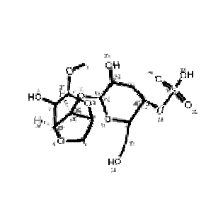 CO[C@H]1OC2CO[C@@H](C1O)[C@H]2O[C@@H]1OC(CO)[C@H](OS(=O)(=O)O)CC1O